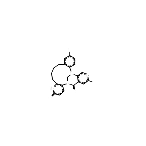 O=C1c2cc(C(F)(F)F)ncc2N2CN1c1ccc(=O)[nH]c1CCCCc1cc(F)ccc12